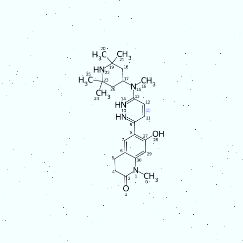 CN1C(=O)CCc2cc(C(=N)/C=C\C(=N)N(C)C3CC(C)(C)NC(C)(C)C3)c(O)cc21